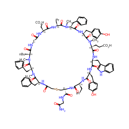 CCCC[C@H]1C(=O)NCC(=O)N[C@@H](CC(=O)O)C(=O)N[C@@H](C(C)C)C(=O)N(C)[C@@H](Cc2ccccc2)C(=O)N[C@@H](Cc2ccc(O)cc2)C(=O)N(C)[C@@H](CCC(=O)O)C(=O)N[C@@H](Cc2c[nH]c3ccccc23)C(=O)N[C@@H](Cc2ccc(O)cc2)C(=O)N[C@@H](CC(C)C)C(=O)N[C@H](C(=O)NCC(N)=O)CSCC(=O)N[C@@H](Cc2ccccc2)C(=O)N(C)[C@@H](Cc2ccccc2)C(=O)N1C